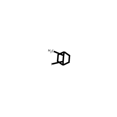 CC1C2CCC(CC2)C1I